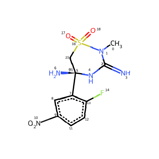 CN1C(=N)N[C@](N)(c2cc([N+](=O)[O-])ccc2F)CS1(=O)=O